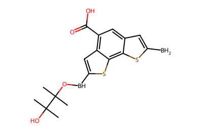 Bc1cc2cc(C(=O)O)c3cc(BOC(C)(C)C(C)(C)O)sc3c2s1